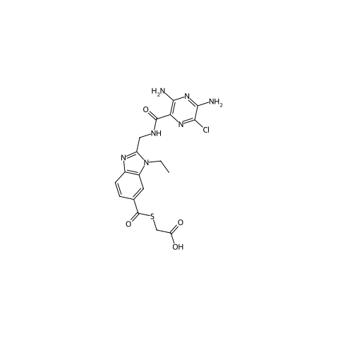 CCn1c(CNC(=O)c2nc(Cl)c(N)nc2N)nc2ccc(C(=O)SCC(=O)O)cc21